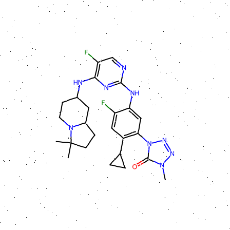 Cn1nnn(-c2cc(Nc3ncc(F)c(NC4CCN5C(CCC5(C)C)C4)n3)c(F)cc2C2CC2)c1=O